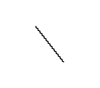 CCCCCCCCCCC[CH]CCCCCCCCCCCCCCCCC